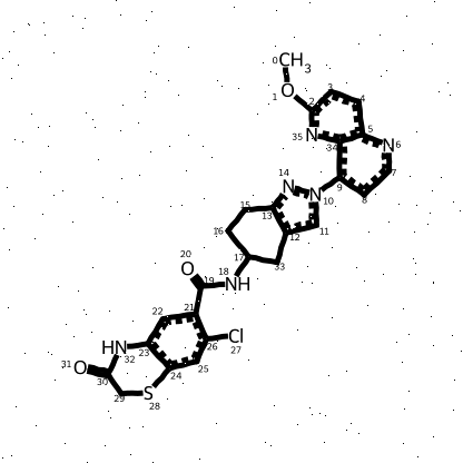 COc1ccc2nccc(-n3cc4c(n3)CCC(NC(=O)c3cc5c(cc3Cl)SCC(=O)N5)C4)c2n1